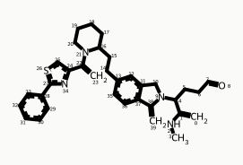 C=C(NC)C(CCC=O)N1Cc2cc(CCC3CCCCN3C(=C)c3csc(-c4ccccc4)n3)ccc2C1=C